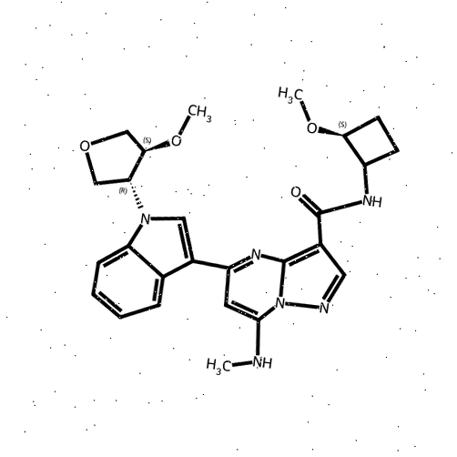 CNc1cc(-c2cn([C@@H]3COC[C@H]3OC)c3ccccc23)nc2c(C(=O)NC3CC[C@@H]3OC)cnn12